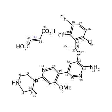 COc1cc(N2CCNC[C@@H]2C)ncc1-c1cnc(N)c(O[C@H](C)c2c(Cl)ccc(F)c2Cl)c1.O=C(O)/C=C/C(=O)O